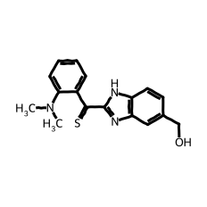 CN(C)c1ccccc1C(=S)c1nc2cc(CO)ccc2[nH]1